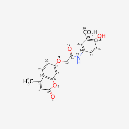 Cc1cc(=O)oc2cc(OCC(=O)Nc3ccc(O)c(C(=O)O)c3)ccc12